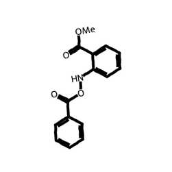 COC(=O)c1ccccc1NOC(=O)c1ccccc1